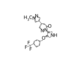 Cn1cc(-c2cnn([C@@H]3CNC[C@H]3OCc3ccc(C(F)(F)F)cc3)c(=O)c2)cn1